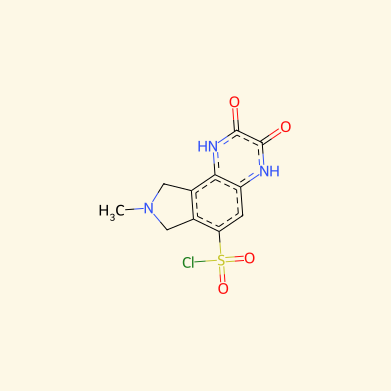 CN1Cc2c(S(=O)(=O)Cl)cc3[nH]c(=O)c(=O)[nH]c3c2C1